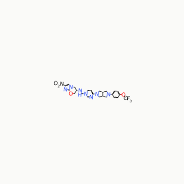 O=[N+]([O-])c1cn2c(n1)OC[C@@H](NCN1C=NC(N3CC4CN(c5ccc(OC(F)(F)F)cc5)CC4C3)=CC1)C2